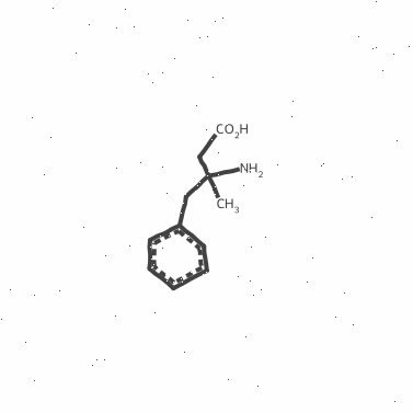 CC(N)(CC(=O)O)Cc1ccccc1